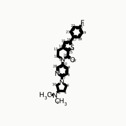 CN(C)C1CCN(c2ccc(N3CCc4cc(-c5ccc(F)cc5)sc4C3=O)cn2)C1